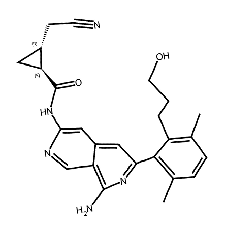 Cc1ccc(C)c(-c2cc3cc(NC(=O)[C@H]4C[C@@H]4CC#N)ncc3c(N)n2)c1CCCO